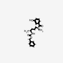 C[C@H](CCCN(C)C(=O)c1cccc(O)c1)NC(=O)OCc1ccccc1